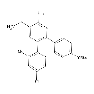 COc1ccc(-c2nc(C)c(CN)cc2-c2ccc(Cl)cc2Cl)cc1